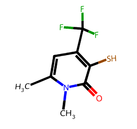 Cc1cc(C(F)(F)F)c(S)c(=O)n1C